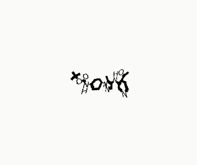 CC(=O)c1ccncc1Nc1cnn([C@H]2CC[C@@H](NC(=O)OC(C)(C)C)CC2)c1C